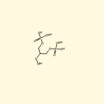 CCCCOC(COP(=O)(O)OC)COP(=O)(O)OC